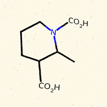 CC1C(C(=O)O)CCCN1C(=O)O